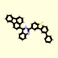 c1ccc(-c2ccc3sc4ccc(-c5nc(-c6ccc7c8c(cccc68)-c6ccccc6-7)c6ccccc6n5)cc4c3c2)cc1